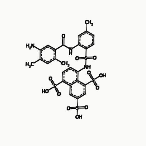 Cc1ccc(S(=O)(=O)Nc2ccc(S(=O)(=O)O)c3cc(S(=O)(=O)O)cc(S(=O)(=O)O)c23)c(NC(=O)c2cc(N)c(C)cc2C)c1